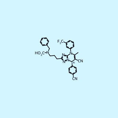 CC1=C(C#N)[C@@H](c2ccc(C#N)cc2)n2nc(CCCN(Cc3ccccc3)C(=O)O)nc2N1c1cccc(C(F)(F)F)c1